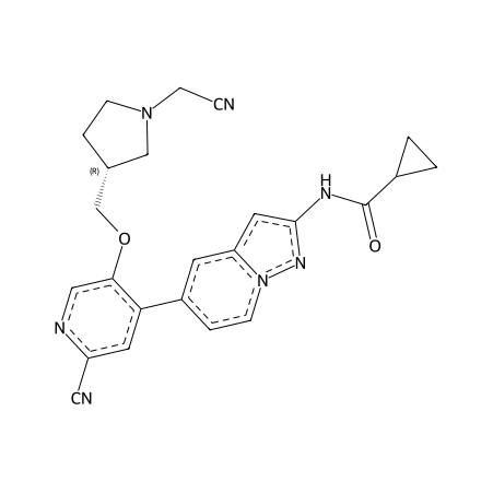 N#CCN1CC[C@@H](COc2cnc(C#N)cc2-c2ccn3nc(NC(=O)C4CC4)cc3c2)C1